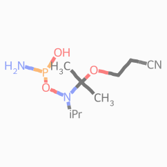 CC(C)N(OP(N)O)C(C)(C)OCCC#N